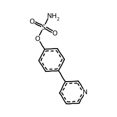 NS(=O)(=O)Oc1ccc(-c2cccnc2)cc1